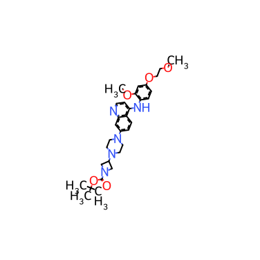 COCCOc1ccc(Nc2ccnc3cc(N4CCN(C5CN(C(=O)OC(C)(C)C)C5)CC4)ccc23)c(OC)c1